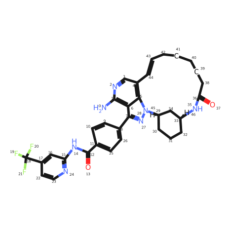 Nc1ncc2c3c1c(-c1ccc(C(=O)Nc4cc(C(F)(F)F)ccn4)cc1)nn3[C@@H]1CCC[C@H](C1)NC(=O)CCCCC/C=C/2